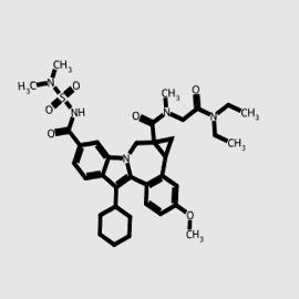 CCN(CC)C(=O)CN(C)C(=O)C12CC1c1cc(OC)ccc1-c1c(C3CCCCC3)c3ccc(C(=O)NS(=O)(=O)N(C)C)cc3n1C2